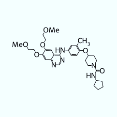 COCCOc1cc2ncnc(Nc3ccc(OC4CCN(C(=O)NC5CCCC5)CC4)c(C)c3)c2cc1OCCOC